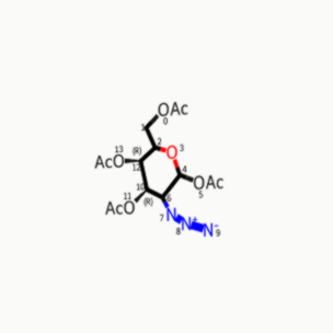 CC(=O)OCC1OC(OC(C)=O)C(N=[N+]=[N-])[C@@H](OC(C)=O)[C@H]1OC(C)=O